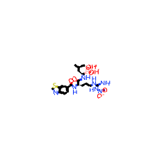 CC(C)C[C@H](NC(=O)[C@H](CCCNC(=N)N[N+](=O)[O-])NC(=O)c1ccc2ncsc2c1)B(O)O